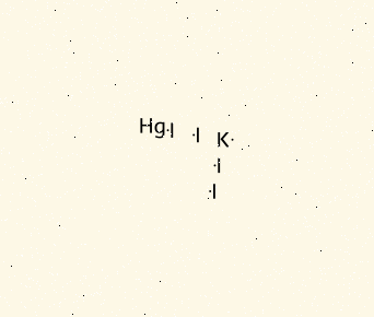 [Hg].[I].[I].[I].[I].[K]